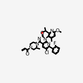 C=CC(=O)N1CCN(/C(=N/C)c2cc(Cl)c(-c3ccccc3F)nc2N(C=O)c2c(C)cc(OC)nc2C(C)C)C(C)C1